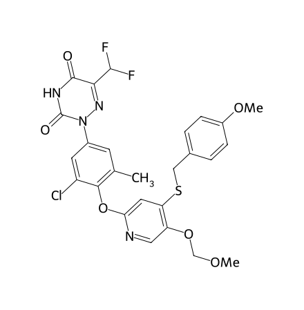 COCOc1cnc(Oc2c(C)cc(-n3nc(C(F)F)c(=O)[nH]c3=O)cc2Cl)cc1SCc1ccc(OC)cc1